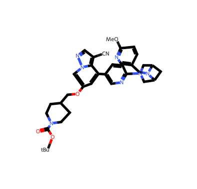 COc1ccc(CN2C3CC2CN(c2ccc(-c4cc(OCC5CCN(C(=O)OC(C)(C)C)CC5)cn5ncc(C#N)c45)cn2)C3)cn1